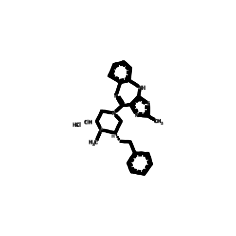 Cc1nc2c(s1)Nc1ccccc1N=C2N1CCN(C)[C@@H](CCc2ccccc2)C1.Cl.Cl